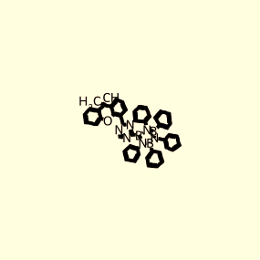 CC1(C)c2ccccc2Oc2c(-c3ncnc(B4N(c5ccccc5)B(c5ccccc5)N(c5ccccc5)B(c5ccccc5)N4c4ccccc4)n3)cccc21